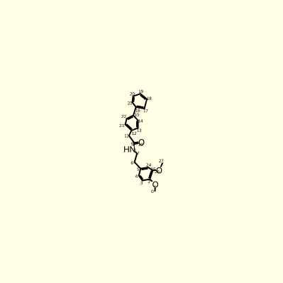 COc1ccc(CCNC(=O)Cc2ccc(-c3ccccc3)cc2)cc1OC